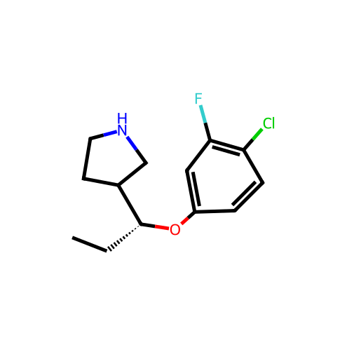 CC[C@@H](Oc1ccc(Cl)c(F)c1)C1CCNC1